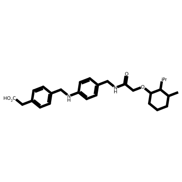 CC(C)C1C(C)CCCC1OCC(=O)NCc1ccc(NCc2ccc(CC(=O)O)cc2)cc1